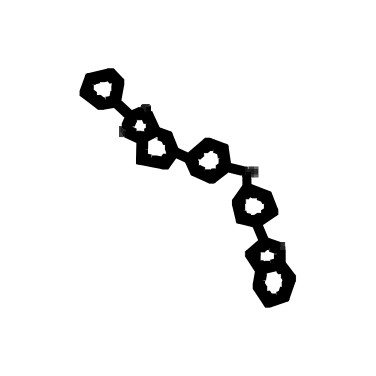 c1ccc(-c2nc3ccc(-c4ccc(Nc5ccc(-c6cc7ccccc7s6)cc5)cc4)cc3o2)cc1